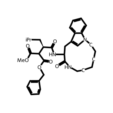 COC(=O)C(C(=O)OCc1ccccc1)[C@@H](CC(C)C)C(=O)NC1Cc2cn(c3ccccc23)CCCCCCNC1=O